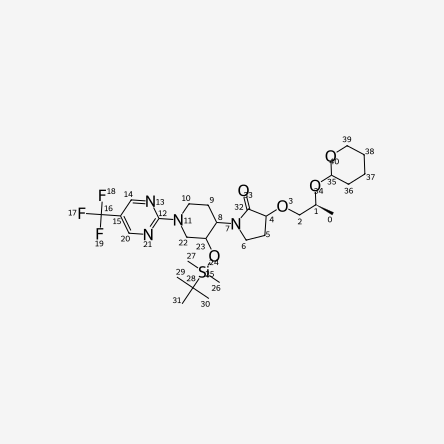 C[C@@H](COC1CCN(C2CCN(c3ncc(C(F)(F)F)cn3)CC2O[Si](C)(C)C(C)(C)C)C1=O)OC1CCCCO1